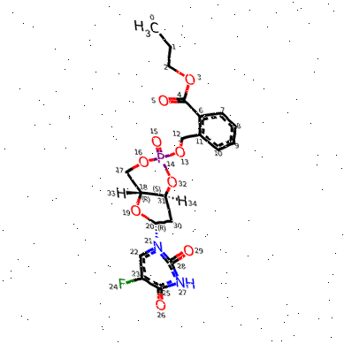 CCCOC(=O)c1ccccc1COP1(=O)OC[C@H]2O[C@@H](n3cc(F)c(=O)[nH]c3=O)C[C@@H]2O1